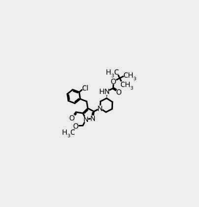 COCn1nc(N2CCC[C@@H](NC(=O)OC(C)(C)C)C2)c(Cc2ccccc2Cl)c1C=O